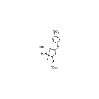 Br.CCCCCCCCCCCCC(CC(=O)Oc1ccc([N+](=O)[O-])cc1)C(C)(C)N